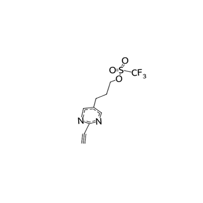 C#Cc1ncc(CCCOS(=O)(=O)C(F)(F)F)cn1